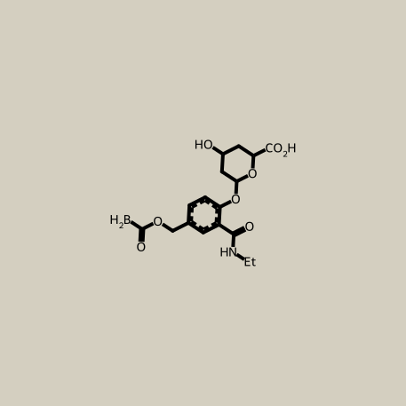 BC(=O)OCc1ccc(OC2CC(O)CC(C(=O)O)O2)c(C(=O)NCC)c1